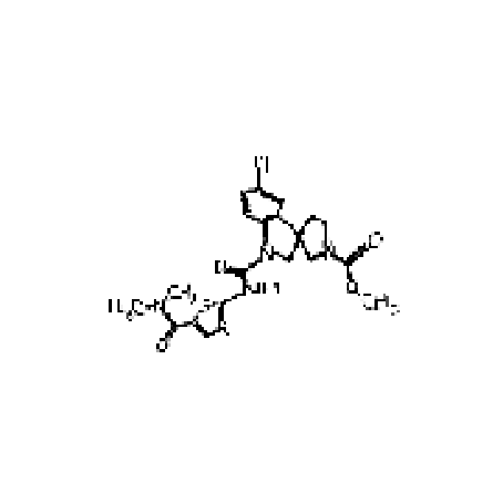 COC(=O)N1CCC2(C1)CN(C(=O)Nc1ncc(C(=O)N(C)C)s1)c1ccc(Cl)cc12